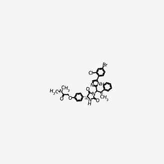 C[C@@H](c1ccccc1)C(c1ncc(-c2ccc(Br)cc2Cl)[nH]1)N1C(=O)N[C@H](c2ccc(OCC(=O)N(C)C)cc2)C1=O